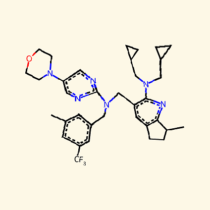 Cc1cc(CN(Cc2cc3c(nc2N(CC2CC2)CC2CC2)C(C)CC3)c2ncc(N3CCOCC3)cn2)cc(C(F)(F)F)c1